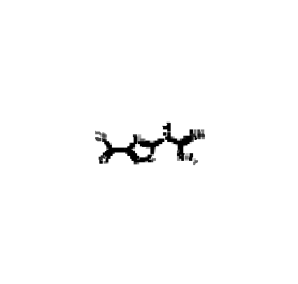 CCC(=O)c1csc(NC(=N)N)n1